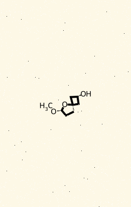 CO[C@H]1CC[C@]2(C[C@@H](O)C2)O1